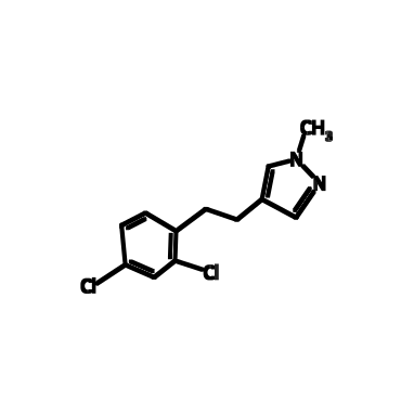 Cn1cc(CCc2ccc(Cl)cc2Cl)cn1